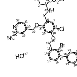 CCOC(=O)[C@H](CO)NCc1cc(Cl)c(OCc2cccc(-c3ccccc3)c2Br)cc1OCc1ccnc(C#N)c1.Cl